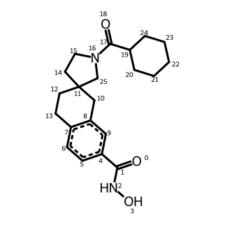 O=C(NO)c1ccc2c(c1)CC1(CC2)CCN(C(=O)C2CCCCC2)C1